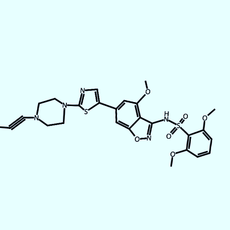 CC#CN1CCN(c2ncc(-c3cc(OC)c4c(NS(=O)(=O)c5c(OC)cccc5OC)noc4c3)s2)CC1